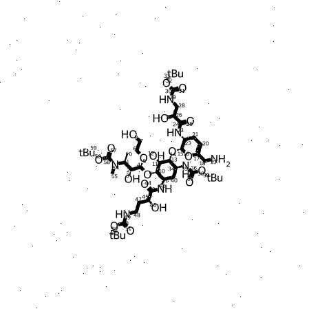 C[C@@H]([C@@H](O)[C@H](OCCO)O[C@@H]1[C@@H](O)[C@H](O[C@H]2OC(CN)=CC[C@H]2NC(=O)C(O)CNC(=O)OC(C)(C)C)[C@@H](NC(=O)OC(C)(C)C)C[C@H]1NC(=O)[C@@H](O)CCNC(=O)OC(C)(C)C)N(C)C(=O)OC(C)(C)C